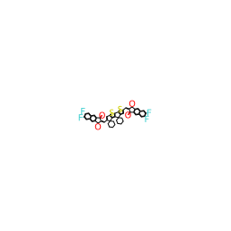 O=C1C(=CC2=Cc3sc4c(c3C23CCCCC3)C2(CCCCC2)c2cc(C=C3C(=O)c5cc6cc(F)c(F)cc6cc5C3=O)sc2-4)C(=O)c2cc3cc(F)c(F)cc3cc21